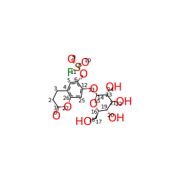 O=C1CCc2cc(OS(=O)(=O)F)c(O[C@@H]3O[C@H](CO)[C@@H](O)[C@H](O)[C@H]3O)cc2O1